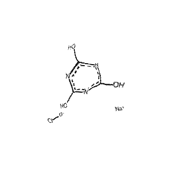 Oc1nc(O)nc(O)n1.[Na+].[O-]Cl